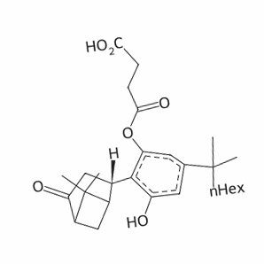 CCCCCCC(C)(C)c1cc(O)c([C@H]2CC(=O)C3CC2C3(C)C)c(OC(=O)CCC(=O)O)c1